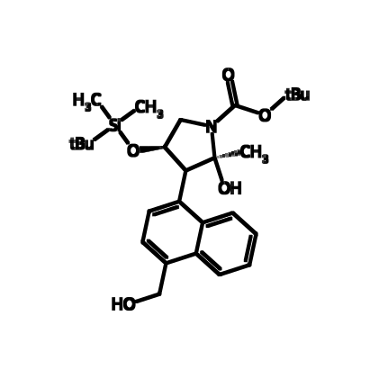 CC(C)(C)OC(=O)N1C[C@H](O[Si](C)(C)C(C)(C)C)C(c2ccc(CO)c3ccccc23)[C@]1(C)O